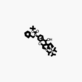 CC(C)S(C(C)C)(C(C)C)n1ccc2c(C(O)C34CCC(N(Cc5ccccc5)C(=O)OC(C)(C)C)(CC3)CC4)c(Cl)cnc21